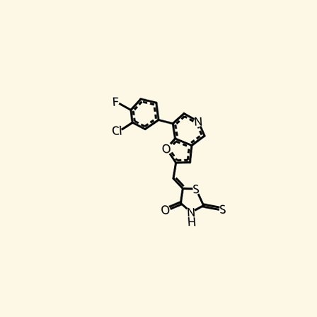 O=C1NC(=S)S/C1=C\c1cc2cncc(-c3ccc(F)c(Cl)c3)c2o1